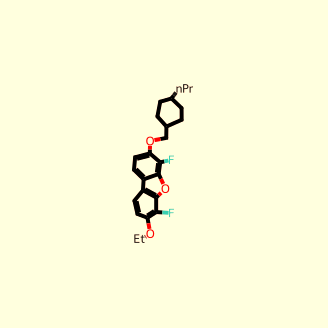 CCCC1CCC(COc2ccc3c(oc4c(F)c(OCC)ccc43)c2F)CC1